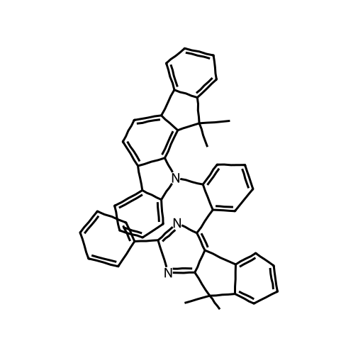 CC1(C)c2ccccc2-c2c(-c3ccccc3-n3c4ccccc4c4ccc5c(c43)C(C)(C)c3ccccc3-5)nc(-c3ccccc3)nc21